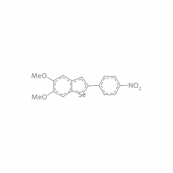 COc1cc2cc(-c3ccc([N+](=O)[O-])cc3)[se]c2cc1OC